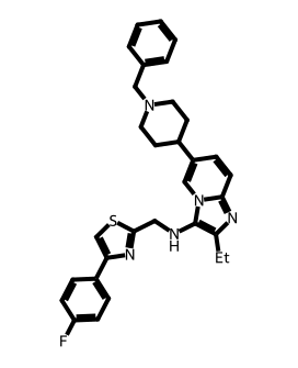 CCc1nc2ccc(C3CCN(Cc4ccccc4)CC3)cn2c1NCc1nc(-c2ccc(F)cc2)cs1